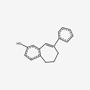 Oc1ccc2c(c1)C=C(c1ccccc1)CCC2